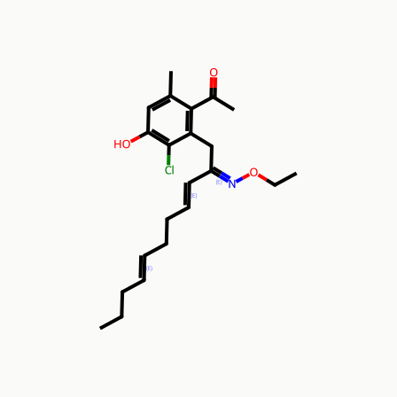 CCC/C=C/CC/C=C/C(Cc1c(Cl)c(O)cc(C)c1C(C)=O)=N/OCC